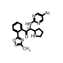 CC(=O)c1cnc(N[C@H](C(=O)c2ccccc2-c2nc(C)no2)C2CCCN2)nc1